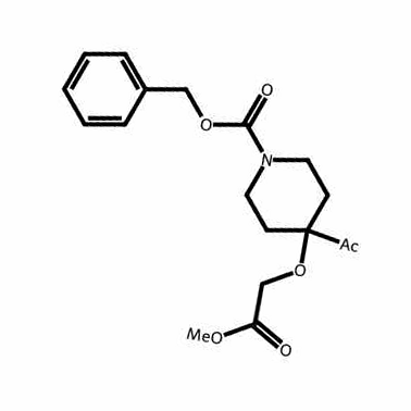 COC(=O)COC1(C(C)=O)CCN(C(=O)OCc2ccccc2)CC1